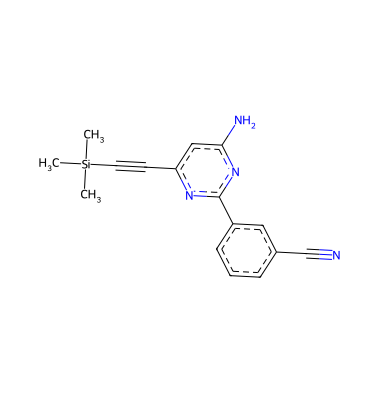 C[Si](C)(C)C#Cc1cc(N)nc(-c2cccc(C#N)c2)n1